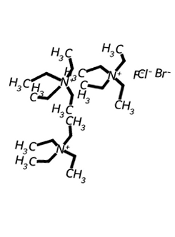 CC[N+](CC)(CC)CC.CC[N+](CC)(CC)CC.CC[N+](CC)(CC)CC.[Br-].[Cl-].[F-]